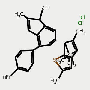 CC1=C2c3cc(C)sc3C1[Si]2(C)C.CCCc1ccc(-c2cccc3c2C=C(C)[CH]3[Zr+2])cc1.[Cl-].[Cl-]